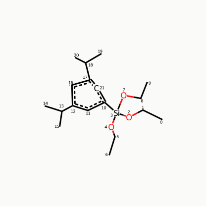 CCO[Si](OCC)(OCC)c1cc(C(C)C)[c]c(C(C)C)c1